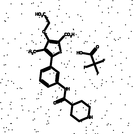 Cc1c(-c2cccc(NC(=O)C3CCNCC3)c2)sc(C(=O)O)c1OCC(=O)O.O=C(O)C(F)(F)F